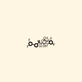 CC(=O)N[C@@H](Cc1cc(F)cc(F)c1)[C@H](O)CNC1(c2cccc(-c3cc(F)cc(F)c3)c2)CC1